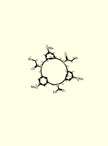 CCC(=O)N1Cc2cc(cc(OC)c2)CN(C(=O)CC(C)C)Cc2cc(cc(OC)c2)CN(C(=O)CC(C)C)Cc2cc(cc(OC)c2)C1